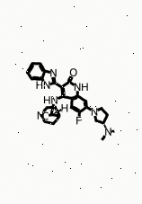 CN(C)[C@@H]1CCN(c2cc3[nH]c(=O)c(-c4nc5ccccc5[nH]4)c(N[C@H]4CN5CCC4CC5)c3cc2F)C1